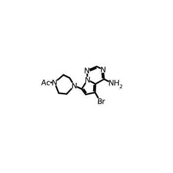 CC(=O)N1CCN(c2cc(Br)c3c(N)ncnn23)CC1